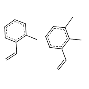 C=Cc1cccc(C)c1C.C=Cc1ccccc1C